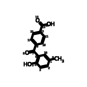 Cc1ccc(O)c(C(=O)c2ccc(C(=O)O)cc2)c1